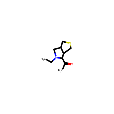 CCN1CC2CSCC2C1C(C)=O